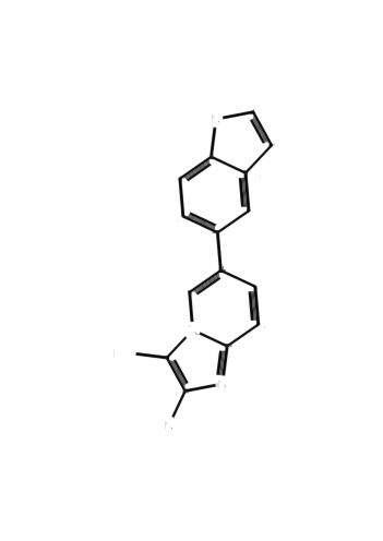 Nc1nc2ccc(-c3ccc4[nH]ccc4c3)cn2c1C=O